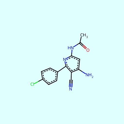 CC(=O)Nc1cc(N)c(C#N)c(-c2ccc(Cl)cc2)n1